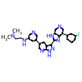 CN(C)CCNc1cncc(-c2cnc3[nH]nc(-c4nc5c(-c6cccc(F)c6)cncc5[nH]4)c3c2)c1